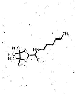 C/C=C/CCCNC(C)C1OC(C)(C)C(C)(C)O1